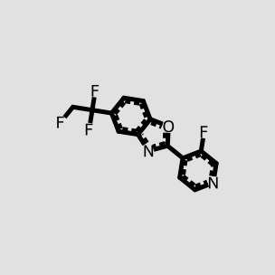 FCC(F)(F)c1ccc2oc(-c3ccncc3F)nc2c1